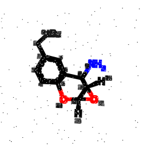 CC(C)(C)Cc1ccc2c(c1)C(N)[C@@H]1O[C@@H]1O2